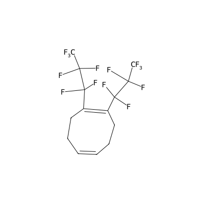 FC(F)(F)C(F)(F)C(F)(F)/C1=C(\C(F)(F)C(F)(F)C(F)(F)F)CC/C=C\CC1